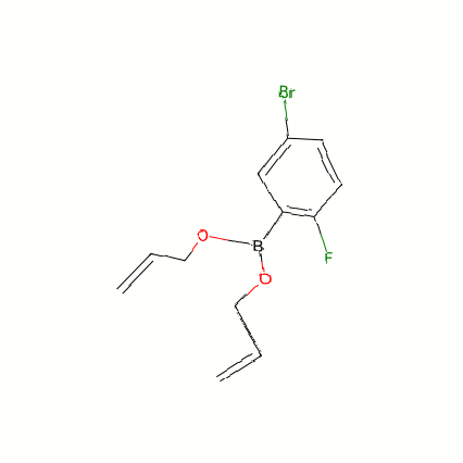 C=CCOB(OCC=C)c1cc(Br)ccc1F